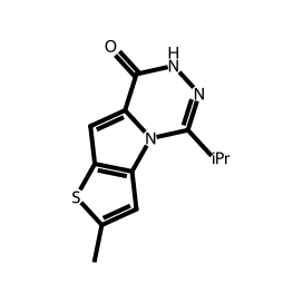 Cc1cc2c(cc3c(=O)[nH]nc(C(C)C)n32)s1